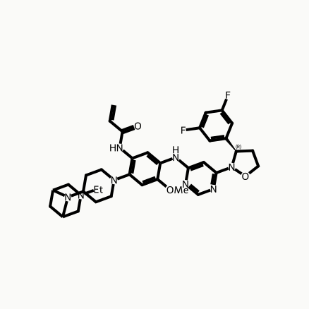 C=CC(=O)Nc1cc(Nc2cc(N3OCC[C@@H]3c3cc(F)cc(F)c3)ncn2)c(OC)cc1N1CCC(N2C3CC2CN(CC)C3)CC1